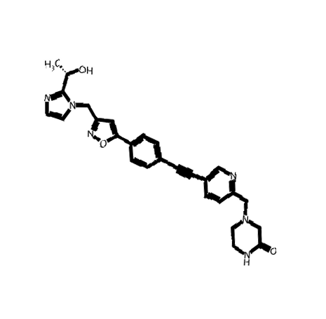 C[C@H](O)c1nccn1Cc1cc(-c2ccc(C#Cc3ccc(CN4CCNC(=O)C4)nc3)cc2)on1